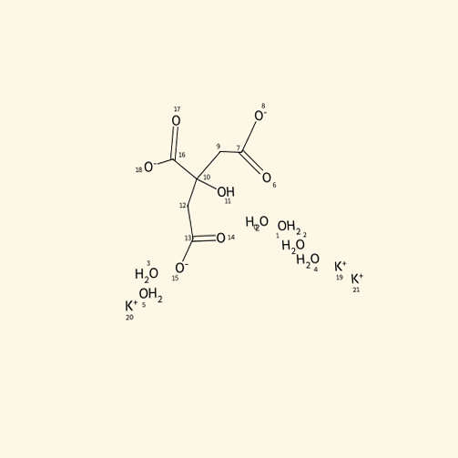 O.O.O.O.O.O.O=C([O-])CC(O)(CC(=O)[O-])C(=O)[O-].[K+].[K+].[K+]